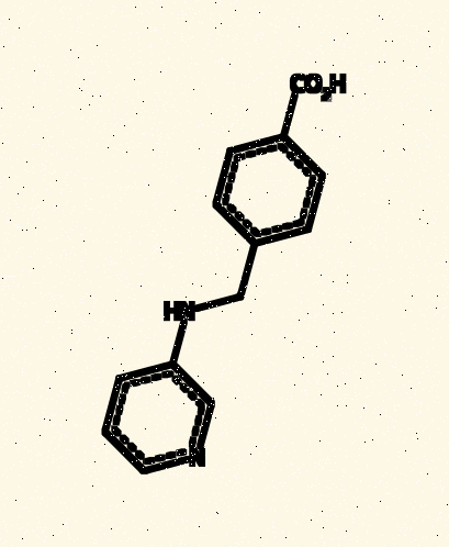 O=C(O)c1ccc(CNc2cccnc2)cc1